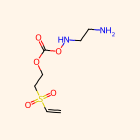 C=CS(=O)(=O)CCOC(=O)ONCCN